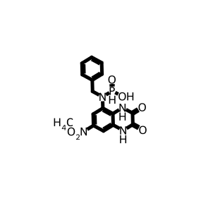 C.O=c1[nH]c2cc([N+](=O)[O-])cc(N(Cc3ccccc3)[PH](=O)O)c2[nH]c1=O